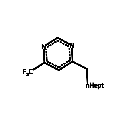 CCCCCCCCc1cc(C(F)(F)F)ncn1